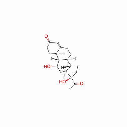 [CH2]C(=O)[C@@]1(O)CC[C@H]2[C@@H]3CCC4=CC(=O)CC[C@]4(C)[C@H]3[C@@H](O)C[C@@]21C